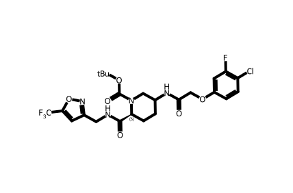 CC(C)(C)OC(=O)N1CC(NC(=O)COc2ccc(Cl)c(F)c2)CC[C@H]1C(=O)NCc1cc(C(F)(F)F)on1